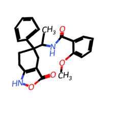 COc1ccccc1C(=O)NC(C)C1(c2ccccc2)CCc2[nH]oc(=O)c2C1